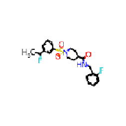 CC(F)c1cccc(S(=O)(=O)N2CCC(C(=O)NCc3ccccc3F)CC2)c1